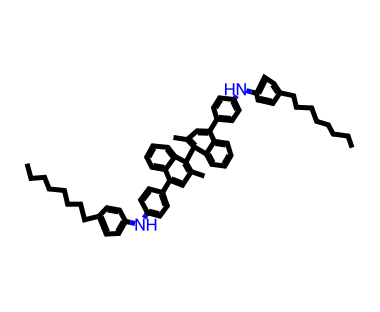 CCCCCCCCc1ccc(Nc2ccc(-c3cc(C)c(-c4c(C)cc(-c5ccc(Nc6ccc(CCCCCCCC)cc6)cc5)c5ccccc45)c4ccccc34)cc2)cc1